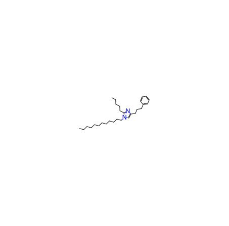 CCCCCCCCCCCCn1cc(CCCc2ccccc2)nc1CCCCC